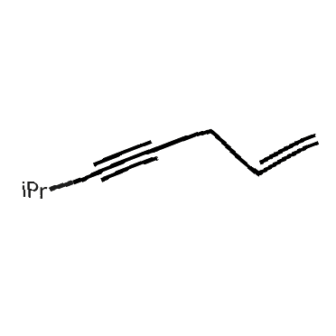 C=CCC#CC(C)C